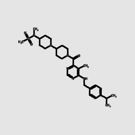 Cc1c(NCc2ccc(C(C)C)cc2)ncnc1C(=O)N1CCC(N2CCC(N(C)S(C)(=O)=O)CC2)CC1